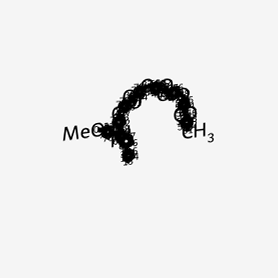 COc1ccc(-c2nc3cc(-c4ccccc4)ccc3nc2-c2ccc(Oc3ccc(S(=O)(=O)c4ccc(Oc5ccc(S(=O)(=O)c6ccc(Oc7ccc(S(=O)(=O)c8ccc(C)cc8)cc7)cc6)cc5)cc4)cc3)cc2)cc1